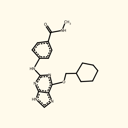 CNC(=O)c1ccc(Nc2nc(OCC3CCCCC3)c3nc[nH]c3n2)cc1